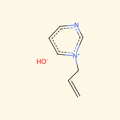 C=CC[n+]1cccnc1.[OH-]